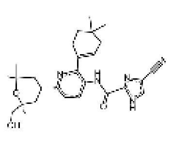 CC1(C)CC=C(c2nc([C@H]3CC(C)(C)O[C@](C)(CO)C3)ccc2NC(=O)c2nc(C#N)c[nH]2)CC1